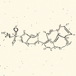 NS(=O)(=O)c1nn2cc(-c3ccc4ccc5cccc6ccc3c4c56)nc2s1